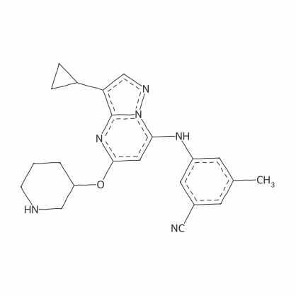 Cc1cc(C#N)cc(Nc2cc(OC3CCCNC3)nc3c(C4CC4)cnn23)c1